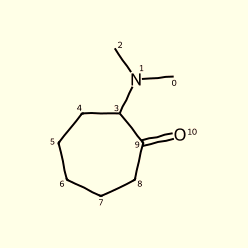 CN(C)C1CCCCCC1=O